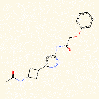 CC(=O)NC1CC(c2cc(NC(=O)COc3ccccc3)[nH]n2)C1